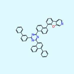 c1ccc(-c2cccc(-c3nc(-c4ccc(-c5ccccc5)c5ccccc45)nc(-c4cccc5c(-c6cccc7c6oc6cnccc67)cccc45)n3)c2)cc1